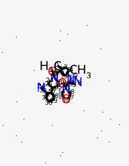 Cc1cc(C)c(-n2cncc2C(=O)N2CCOCC2)cc1C(=O)N1CCC(c2ccccc2C#N)CC1